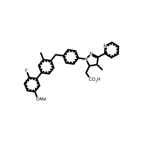 COc1ccc(F)c(-c2ccc(Cc3ccc(N4N=C(c5ccccn5)C(C)C4CC(=O)O)cc3)c(C)c2)c1